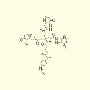 Cc1cc(=O)c(O)c(CNC(=O)CCC(CCC(=O)NCc2c(O)c(=O)cc(C)n2C)(CCC(=O)NCc2c(O)c(=O)cc(C)n2C)NC(=O)CCNC(=S)Nc2ccc(N=C=S)cc2)n1C